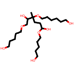 CC(CCC(O)OCCCCCO)(OCCCCCCO)C(O)COCCCCCO